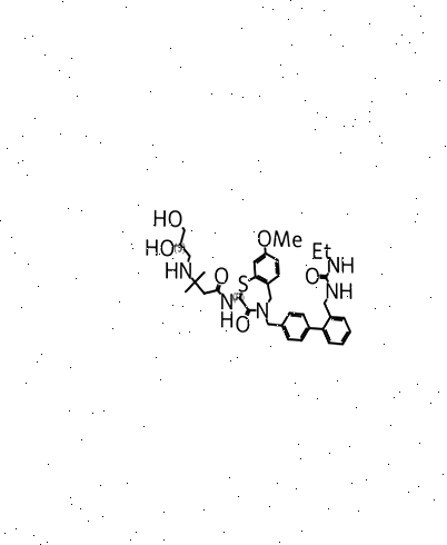 CCNC(=O)NCc1ccccc1-c1ccc(CN2Cc3ccc(OC)cc3S[C@@H](NC(=O)CC(C)(C)NC[C@H](O)CO)C2=O)cc1